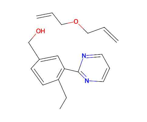 C=CCOCC=C.CCc1ccc(CO)cc1-c1ncccn1